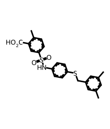 Cc1cc(C)cc(CSc2ccc(NS(=O)(=O)c3ccc(C)c(C(=O)O)c3)cc2)c1